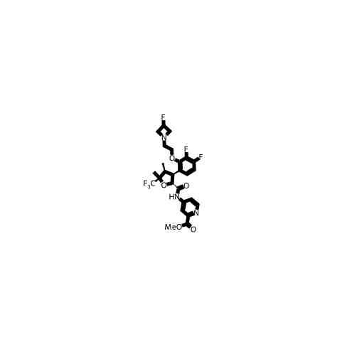 COC(=O)c1cc(NC(=O)[C@@H]2O[C@@](C)(C(F)(F)F)[C@@H](C)[C@H]2c2ccc(F)c(F)c2OCCN2CC(F)C2)ccn1